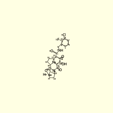 O=C(NCc1cccc(Cl)c1F)c1c2n3c(c(O)c1=O)C(=O)N1C4CC[C@H](C4)OC1C3CC2